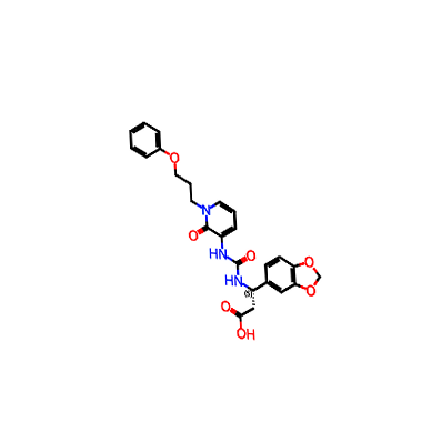 O=C(O)C[C@H](NC(=O)Nc1cccn(CCCOc2ccccc2)c1=O)c1ccc2c(c1)OCO2